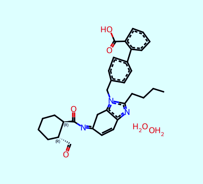 CCCCc1nc2c(n1Cc1ccc(-c3ccccc3C(=O)O)cc1)CC(=NC(=O)[C@@H]1CCCC[C@H]1C=O)C=C2.O.O